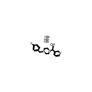 Br.Br.Br.OCC(c1cccnc1)N1CCN(Cc2ccc(F)cc2)CC1